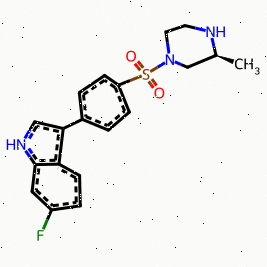 C[C@H]1CN(S(=O)(=O)c2ccc(-c3c[nH]c4cc(F)ccc34)cc2)CCN1